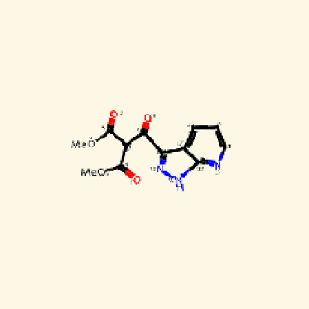 COC(=O)C(C(=O)OC)C(=O)c1n[nH]c2ncccc12